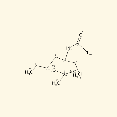 CCCCC(CC)(NC(=O)I)C(C)(C)C